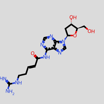 N=C(N)NCC/C=C/C(=O)Nc1ncnc2c1ncn2[C@H]1C[C@H](O)[C@@H](CO)O1